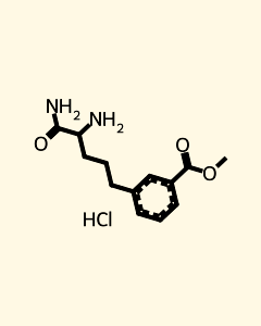 COC(=O)c1cccc(CCCC(N)C(N)=O)c1.Cl